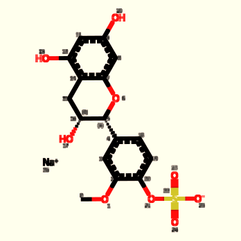 COc1cc([C@H]2Oc3cc(O)cc(O)c3C[C@H]2O)ccc1OS(=O)(=O)[O-].[Na+]